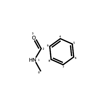 CNC=O.c1ccccc1